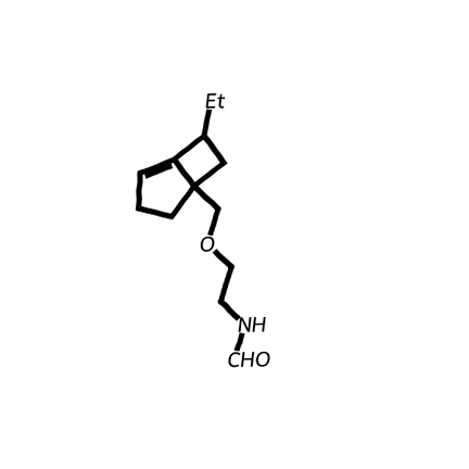 CCC1CC2(COCCNC=O)CCC=C12